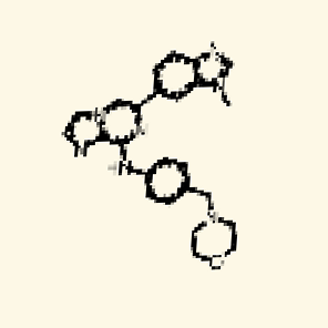 Cn1cnc2ccc(-c3cn4ccnc4c(Nc4ccc(CN5CCOCC5)cc4)n3)cc21